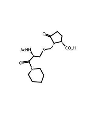 CC(=O)N[C@@H](CSC[C@@H]1C(=O)CC[C@H]1C(=O)O)C(=O)N1CCCCC1